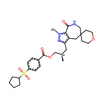 CCn1nc(C[C@@H](C)COC(=O)c2ccc(S(=O)(=O)C3CCCC3)cc2)c2c1C(=O)NCC1(CCOCC1)C2